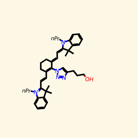 CCCN1/C(=C/C=C2\CCCC(/C=C/C3=[N+](CCC)c4ccccc4C3(C)C)=C2n2cc(CCCO)nn2)C(C)(C)c2ccccc21